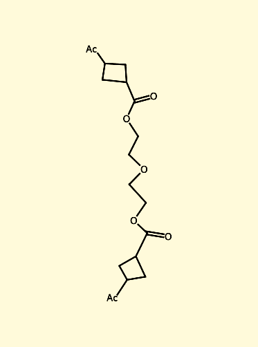 CC(=O)C1CC(C(=O)OCCOCCOC(=O)C2CC(C(C)=O)C2)C1